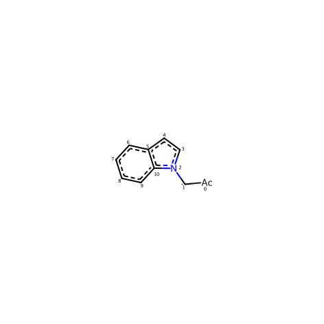 CC(=O)[CH]n1ccc2ccccc21